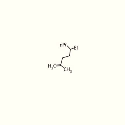 C=C(C)CCC(CC)CCC